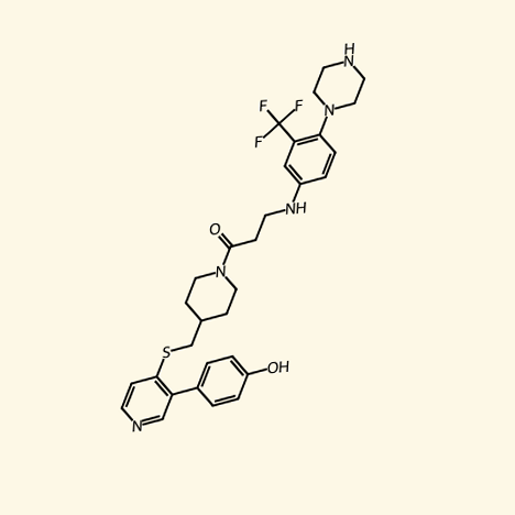 O=C(CCNc1ccc(N2CCNCC2)c(C(F)(F)F)c1)N1CCC(CSc2ccncc2-c2ccc(O)cc2)CC1